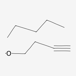 C#CCC[O].CCCCC